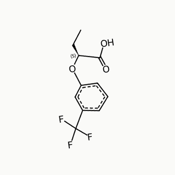 CC[C@H](Oc1cccc(C(F)(F)F)c1)C(=O)O